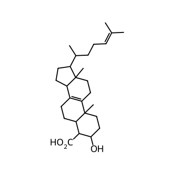 CC(C)=CCCC(C)C1CCC2C3=C(CCC21C)C1(C)CCC(O)C(C(=O)O)C1CC3